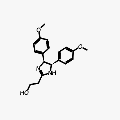 COc1ccc([C@H]2NC(CCO)=N[C@H]2c2ccc(OC)cc2)cc1